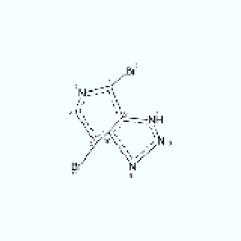 Brc1cnc(Br)c2[nH]nnc12